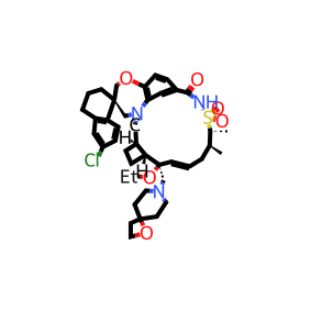 CCO[C@]1(CN2CCC3(CCO3)CC2)/C=C/C[C@H](C)[C@@H](C)S(=O)(=O)NC(=O)c2ccc3c(c2)N(C[C@@H]2CC[C@H]21)C[C@@]1(CCCc2cc(Cl)ccc21)CO3